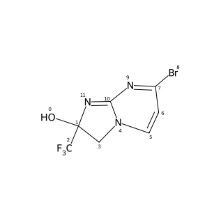 OC1(C(F)(F)F)CN2C=CC(Br)=NC2=N1